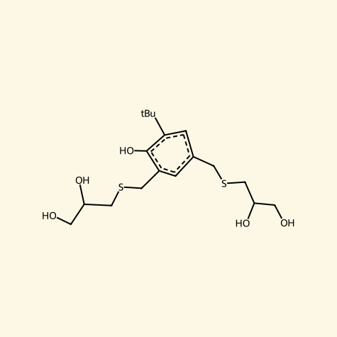 CC(C)(C)c1cc(CSCC(O)CO)cc(CSCC(O)CO)c1O